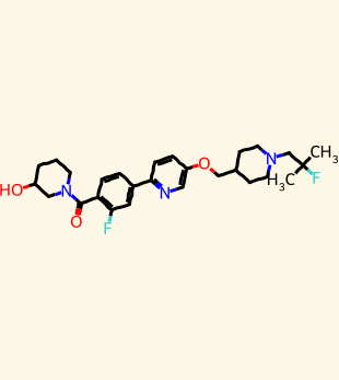 CC(C)(F)CN1CCC(COc2ccc(-c3ccc(C(=O)N4CCCC(O)C4)c(F)c3)nc2)CC1